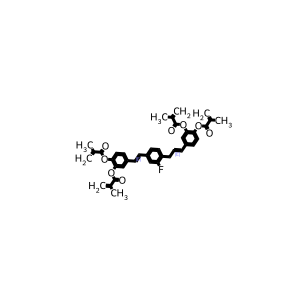 C=C(C)C(=O)Oc1ccc(/C=C/Cc2ccc(/C=C/c3ccc(OC(=O)C(=C)C)c(OC(=O)C(=C)C)c3)cc2F)cc1OC(=O)C(=C)C